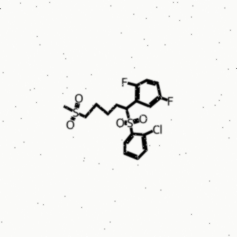 CS(=O)(=O)CCCCC(c1cc(F)ccc1F)S(=O)(=O)c1ccccc1Cl